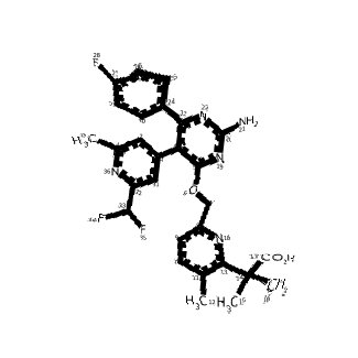 Cc1cc(-c2c(OCc3ccc(C)c(C(C)(C)C(=O)O)n3)nc(N)nc2-c2ccc(F)cc2)cc(C(F)F)n1